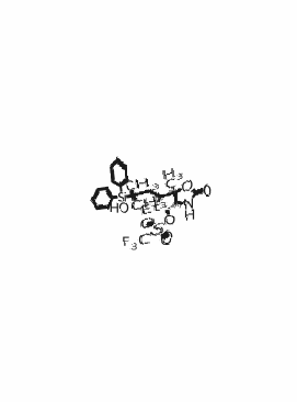 CC[C@@H](CC(C)(C)[Si](O)(c1ccccc1)c1ccccc1)[C@@]1(C)OC(=O)N[C@@H]1COS(=O)(=O)C(F)(F)F